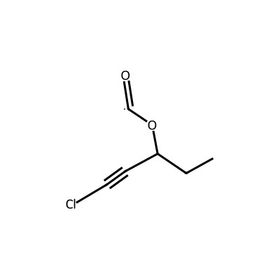 CCC(C#CCl)O[C]=O